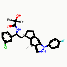 CCC(O)(CC)C(=O)NC(C[C@H]1CCC2=C1[C@@H](C)C1=CNN(c3ccc(F)cc3)C1=C2)c1cccc(Cl)c1